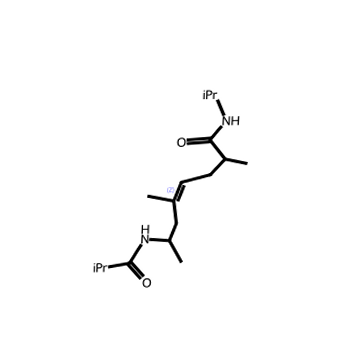 C/C(=C/CC(C)C(=O)NC(C)C)CC(C)NC(=O)C(C)C